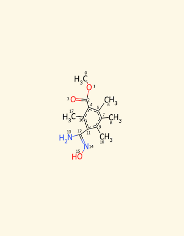 COC(=O)c1c(C)c(C)c(C)c(C(N)=NO)c1C